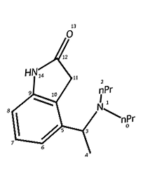 CCCN(CCC)C(C)c1cccc2c1CC(=O)N2